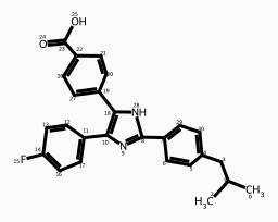 CC(C)Cc1ccc(-c2nc(-c3ccc(F)cc3)c(-c3ccc(C(=O)O)cc3)[nH]2)cc1